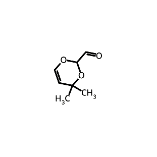 CC1(C)C=COC(C=O)O1